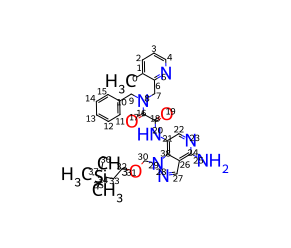 Cc1cccnc1CN(Cc1ccccc1)C(=O)C(=O)Nc1cnc(N)c2cnn(COCC[Si](C)(C)C)c12